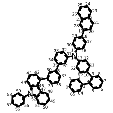 c1ccc(-c2ccccc2-c2ccc(N(c3ccc(-c4ccc5ccccc5c4)cc3)c3cccc(-c4cccc(-c5cccc6c5c5ccccc5n6-c5ccccc5)c4)c3)cc2)cc1